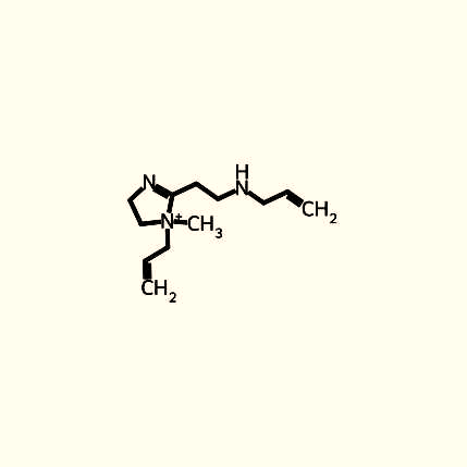 C=CCNCCC1=NCC[N+]1(C)CC=C